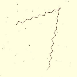 C=C(CCCCCCCCCCCC)CCCCCCCCCCCCCCCC